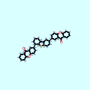 O=c1c2ccccc2oc2ccc(-c3ccc4sc5c(-c6ccc7oc8ccccc8c(=O)c7c6)cccc5c4c3)cc12